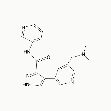 CN(C)Cc1cncc(-c2c[nH]nc2C(=O)Nc2cccnc2)c1